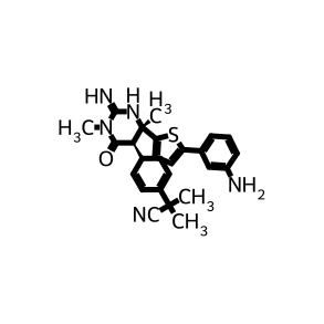 CN1C(=N)N[C@](C)(c2ccc(-c3cccc(N)c3)s2)[C@@H](C2C=CC(C(C)(C)C#N)=CC2)C1=O